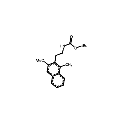 COc1cc2ccccc2c(C)c1CCNC(=O)OC(C)(C)C